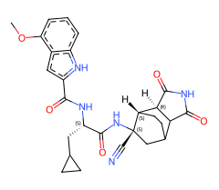 COc1cccc2[nH]c(C(=O)N[C@@H](CC3CC3)C(=O)N[C@@]3(C#N)CC4CC[C@H]3[C@H]3C(=O)NC(=O)C43)cc12